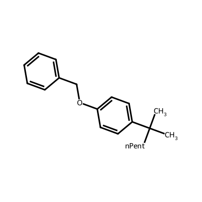 CCCCCC(C)(C)c1ccc(OCc2ccccc2)cc1